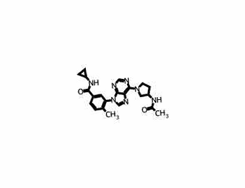 CC(=O)NC1CCN(c2ncnc3c2ncn3-c2cc(C(=O)NC3CC3)ccc2C)C1